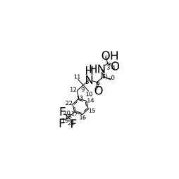 C[C@H](NC(=O)O)C(=O)NC(C)(C)Cc1cccc(C(F)(F)F)c1